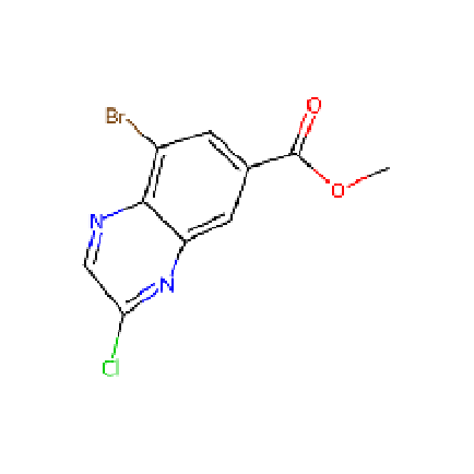 COC(=O)c1cc(Br)c2ncc(Cl)nc2c1